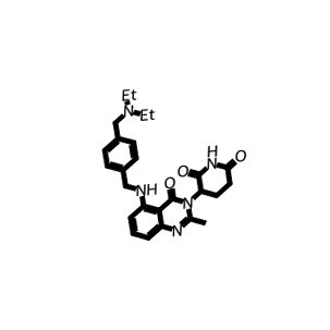 CCN(CC)Cc1ccc(CNc2cccc3nc(C)n(C4CCC(=O)NC4=O)c(=O)c23)cc1